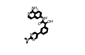 CN(C)c1ncc(-c2cccc(C(O)C(=O)Nc3ccc4c(N)nccc4c3)c2)cn1